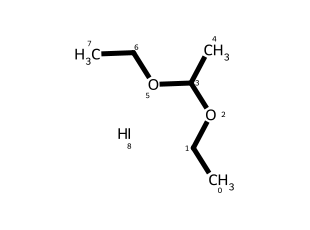 CCOC(C)OCC.I